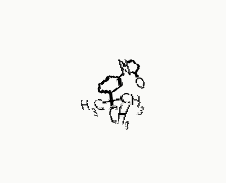 CC(C)(C)c1cccc(N2N=CCC2=O)c1